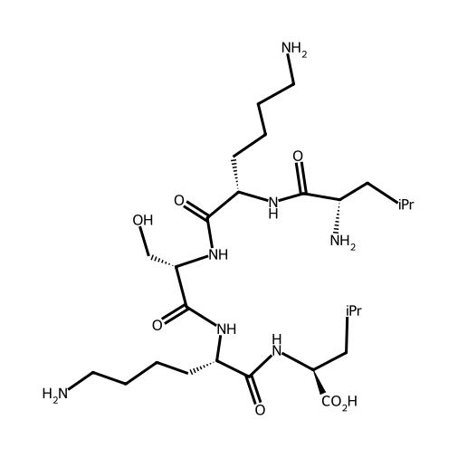 CC(C)C[C@H](NC(=O)[C@H](CCCCN)NC(=O)[C@H](CO)NC(=O)[C@H](CCCCN)NC(=O)[C@@H](N)CC(C)C)C(=O)O